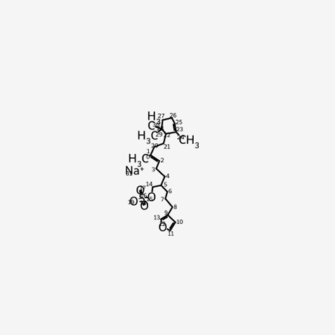 CC(=CCCC(CCCc1ccoc1)COS(=O)(=O)[O-])CCC1C(C)=CCCC1(C)C.[Na+]